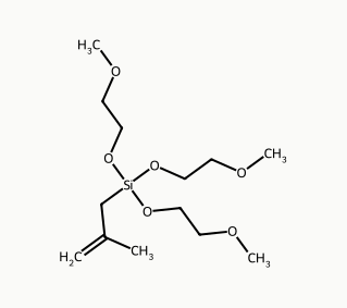 C=C(C)C[Si](OCCOC)(OCCOC)OCCOC